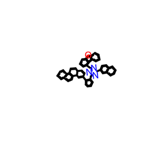 C1=CC2C=Cc3c(ccc4ccccc34)C2C=C1c1ccccc1-c1nc(-c2ccc3ccccc3c2)nc(-c2cccc3oc4ccccc4c23)n1